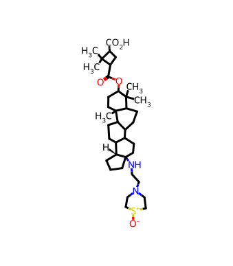 CC1(C)C(C(=O)O)CC1C(=O)OC1CCC2(C)C3CCC4C(CCC5(NCCN6CC[S+]([O-])CC6)CCC[C@H]45)C3CCC2C1(C)C